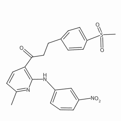 Cc1ccc(C(=O)CCc2ccc(S(C)(=O)=O)cc2)c(Nc2cccc([N+](=O)[O-])c2)n1